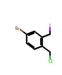 ClCc1ccc(Br)cc1CI